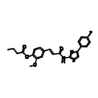 CCCC(=O)Oc1ccc(C=CC(=O)Nc2nc(-c3ccc(F)cc3)cs2)cc1OC